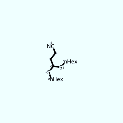 CCCCCCSC(CCC#N)SCCCCCC